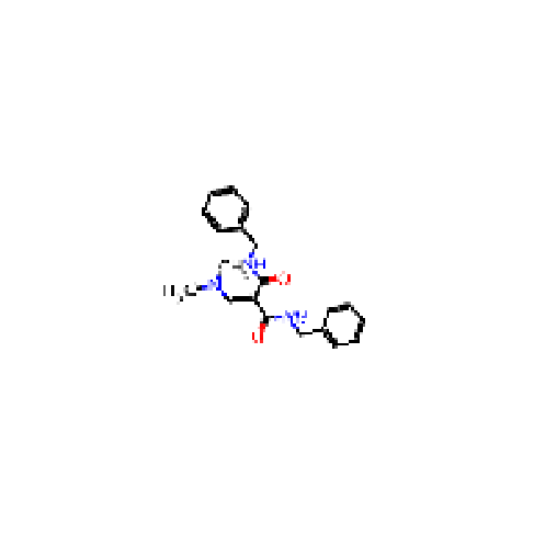 CN(C)C=C(C(=O)NCc1ccccc1)C(=O)NCc1ccccc1